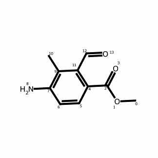 COC(=O)c1ccc(N)c(C)c1C=O